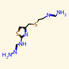 NC=NCCSCc1csc(NC=NN)n1